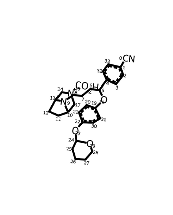 N#Cc1ccc(C(CCCN2C3CCC2CN(C(=O)O)C3)Oc2ccc(OC3CCCCO3)cc2)cc1